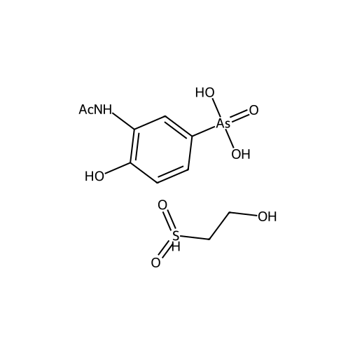 CC(=O)Nc1cc([As](=O)(O)O)ccc1O.O=[SH](=O)CCO